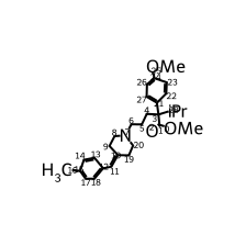 COC(=O)C(CCCN1CCC(=Cc2ccc(C)cc2)CC1)(c1ccc(OC)cc1)C(C)C